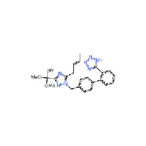 CC=CCc1nc(C(CCC)(OC)OC)nn1Cc1ccc(-c2ccccc2-c2nnn[nH]2)cc1